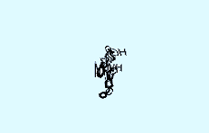 Cc1cc(Oc2ccccc2)ccc1N1C(=O)Nc2c(N3CCN(C(=O)O)CC3)sc3nccc1c23